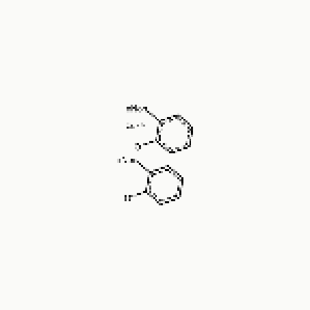 CCCCCCCCCc1ccccc1[O-].CCCCCCCCCc1ccccc1[O-].[Cu+2]